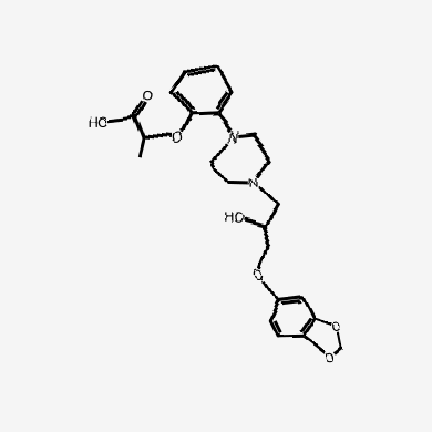 CC(Oc1ccccc1N1CCN(CC(O)COc2ccc3c(c2)OCO3)CC1)C(=O)O